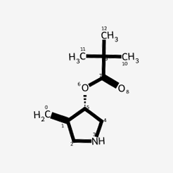 C=C1CNC[C@H]1OC(=O)C(C)(C)C